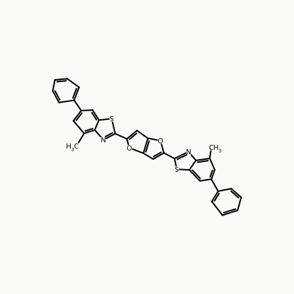 Cc1cc(-c2ccccc2)cc2sc(-c3cc4oc(-c5nc6c(C)cc(-c7ccccc7)cc6s5)cc4o3)nc12